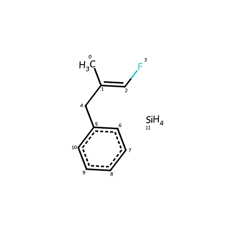 CC(=CF)Cc1ccccc1.[SiH4]